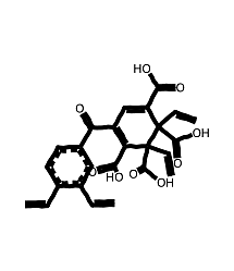 C=Cc1ccc(C(=O)C2=C(C(=O)O)C(C=C)(C(=O)O)C(C=C)(C(=O)O)C(C(=O)O)=C2)cc1C=C